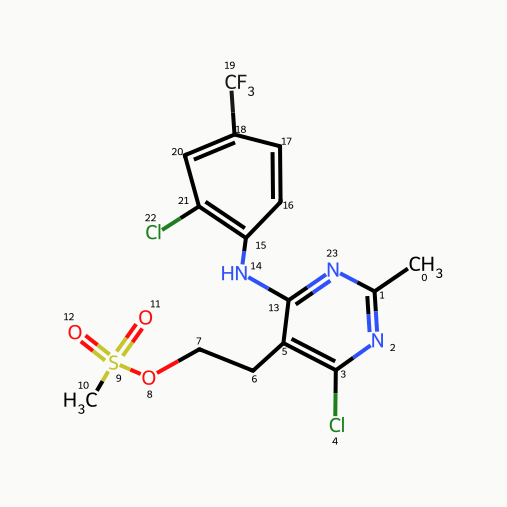 Cc1nc(Cl)c(CCOS(C)(=O)=O)c(Nc2ccc(C(F)(F)F)cc2Cl)n1